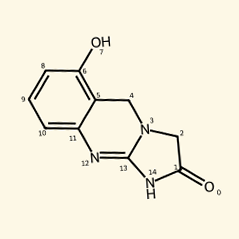 O=C1CN2Cc3c(O)cccc3N=C2N1